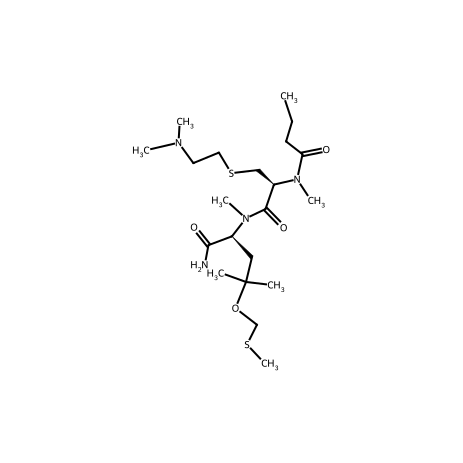 CCCC(=O)N(C)[C@H](CSCCN(C)C)C(=O)N(C)[C@@H](CC(C)(C)OCSC)C(N)=O